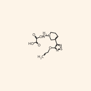 C=CCOc1nsnc1C1=CCCN(C)C1.O=C(O)C(=O)O